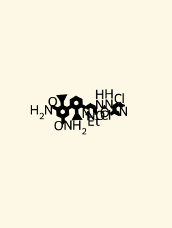 CCn1nc(-c2cccc(-c3cc(C(N)=O)cc(C(N)=O)c3C3CC3)c2C2CC2)cc(NC(=O)Nc2c(Cl)cncc2Cl)c1=O